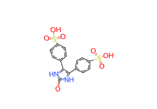 O=c1[nH]c(-c2ccc(S(=O)(=O)O)cc2)c(-c2ccc(S(=O)(=O)O)cc2)[nH]1